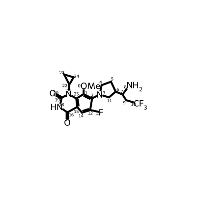 COc1c(N2CCC(C(N)CC(F)(F)F)C2)c(F)cc2c(=O)[nH]c(=O)n(C3CC3)c12